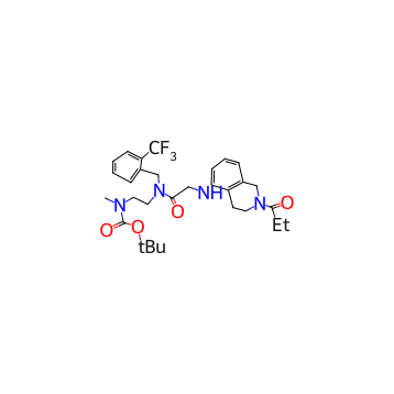 CCC(=O)N1CCc2c(cccc2NCC(=O)N(CCN(C)C(=O)OC(C)(C)C)Cc2ccccc2C(F)(F)F)C1